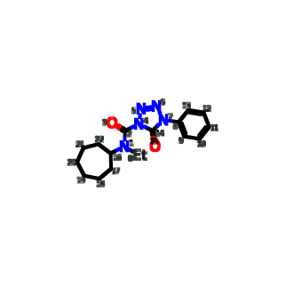 CCN(C(=O)n1nnn(-c2ccccc2)c1=O)C1CCCCCC1